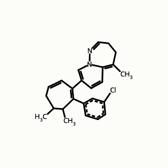 CC1=C2C=CC(C3=C(c4cccc(Cl)c4)C(C)C(C)CC=C3)=CN2N=CCC1